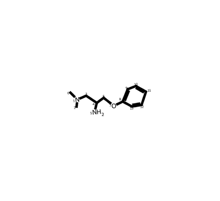 CN(C)CC(N)COc1cc[c]cc1